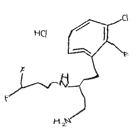 Cl.NCC(Cc1cccc(Cl)c1F)NCC(F)F